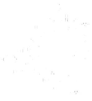 COc1cc2cc(c1Cl)N(C)C(=O)CC(OC(=O)[C@H](C)N(C)C)C1(C)OC1C(C)C1CC(O)(NC(=O)O1)C(OC)/C=C/C=C(\C)C2